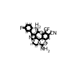 N#Cc1ccc(C2c3c(C(N)=O)c(-c4cccc(F)c4)nn3CCN2C(N)=O)cc1C(F)(F)F